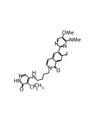 CNc1nc(-c2cc3ccn(CCC[C@H](C)Nc4cn[nH]c(=O)c4C(F)(F)F)c(=O)c3cc2F)ncc1OC